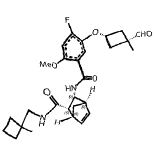 COc1cc(F)c(O[C@H]2C[C@@](C)(C=O)C2)cc1C(=O)N[C@H]1[C@@H](C(=O)NCC2(C)CCC2)[C@H]2C=C[C@H]1C2